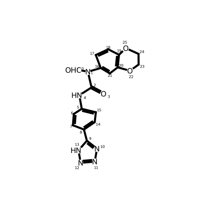 O=CN(C(=O)Nc1ccc(-c2nnn[nH]2)cc1)c1ccc2c(c1)OCCO2